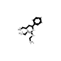 CCO[SiH](OCC)OC(CCCS)c1ccccc1